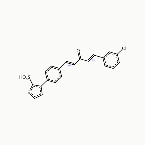 O=C(/C=C/c1ccc(-c2ccsc2S(=O)(=O)O)cc1)/C=C/c1cccc(Cl)c1